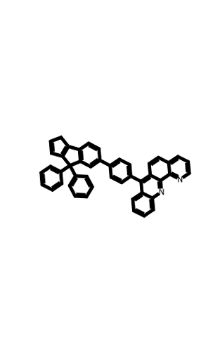 C1=CC2=C(C1)c1ccc(-c3ccc(-c4c5ccccc5nc5c4ccc4cccnc45)cc3)cc1C2(c1ccccc1)c1ccccc1